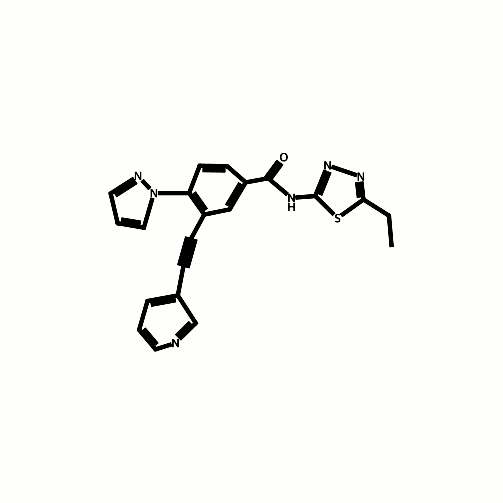 CCc1nnc(NC(=O)c2ccc(-n3cccn3)c(C#Cc3cccnc3)c2)s1